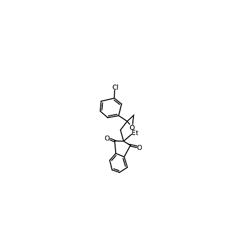 CCC1(CC2(c3cccc(Cl)c3)CO2)C(=O)c2ccccc2C1=O